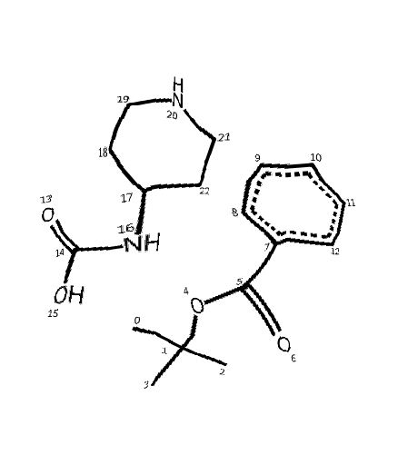 CC(C)(C)OC(=O)c1ccccc1.O=C(O)NC1CCNCC1